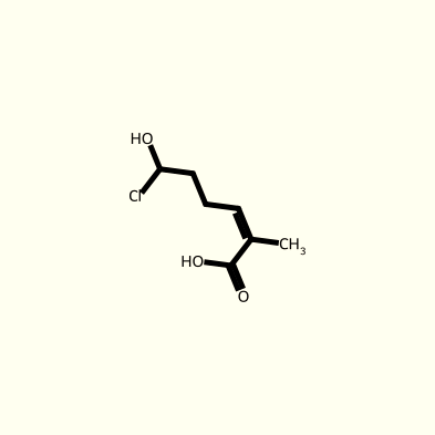 CC(=CCCC(O)Cl)C(=O)O